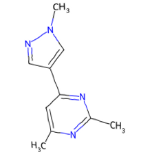 Cc1cc(-c2cnn(C)c2)nc(C)n1